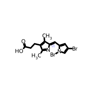 CC1=N/C(=C\c2cc(Br)cn2Br)C(C)=C1CCC(=O)O